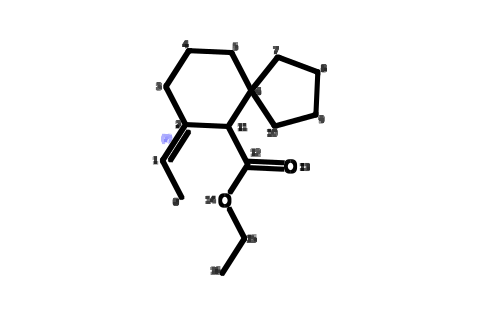 C/C=C1/CCCC2(CCCC2)C1C(=O)OCC